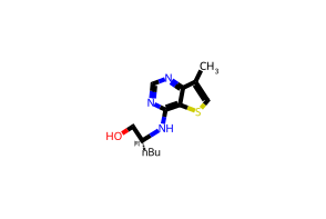 CCCC[C@H](CO)Nc1ncnc2c(C)csc12